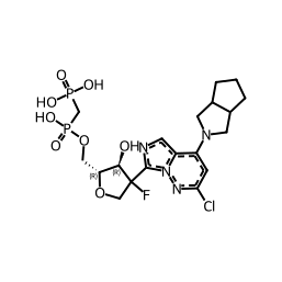 O=P(O)(O)CP(=O)(O)OC[C@H]1OCC(F)(c2ncc3c(N4CC5CCCC5C4)cc(Cl)nn23)[C@@H]1O